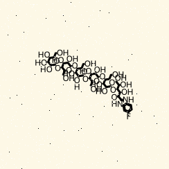 OCC1O[C@H](O[C@@H]2C(CO)O[C@H](O[C@@H]3C(CO)O[C@H](O[C@@H]4C(CO)O[C@H](O[C@@H]5C(CO)O[C@H](O[C@H](C(O)CO)[C@H](O)C(O)c6nc7cc(F)ccc7[nH]6)C(O)[C@H]5O)C(O)[C@H]4O)C(O)[C@H]3O)C(O)[C@H]2O)C(O)[C@@H](O)[C@@H]1O